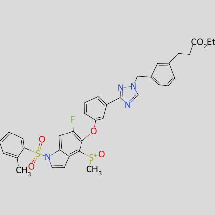 CCOC(=O)CCc1cccc(Cn2cnc(-c3cccc(Oc4c(F)cc5c(ccn5S(=O)(=O)c5ccccc5C)c4[S+](C)[O-])c3)n2)c1